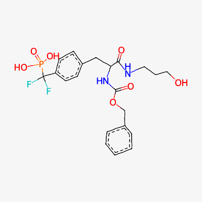 O=C(NC(Cc1ccc(C(F)(F)P(=O)(O)O)cc1)C(=O)NCCCO)OCc1ccccc1